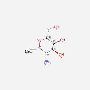 CO[C@@H]1O[C@H](CO)[C@@H](O)[C@@H](O)C1N